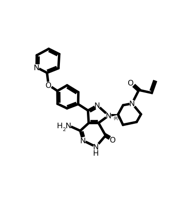 C=CC(=O)N1CCC[C@@H](n2nc(-c3ccc(Oc4ccccn4)cc3)c3c(N)n[nH]c(=O)c32)C1